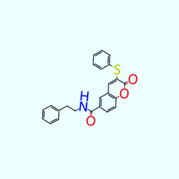 O=C(NCCc1ccccc1)c1ccc2oc(=O)c(Sc3ccccc3)cc2c1